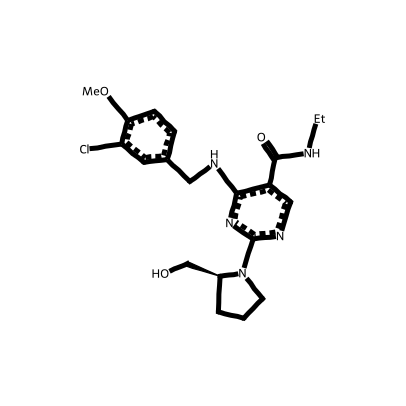 CCNC(=O)c1cnc(N2CCC[C@H]2CO)nc1NCc1ccc(OC)c(Cl)c1